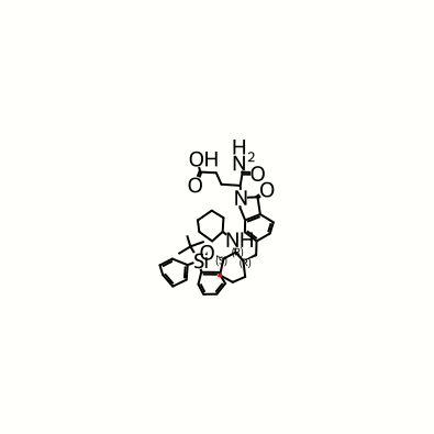 CC(C)(C)[Si](O[C@H]1CCC[C@H](Cc2ccc3c(c2)CN(C(CCC(=O)O)C(N)=O)C3=O)[C@H]1NC1CCCCC1)(c1ccccc1)c1ccccc1